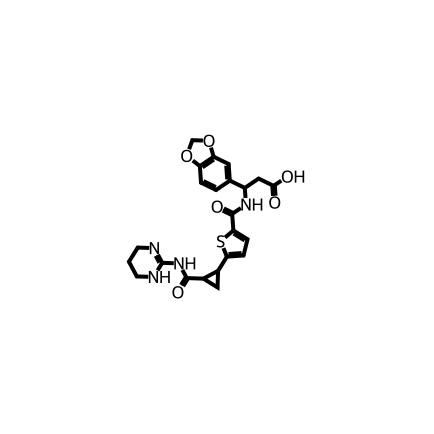 O=C(O)CC(NC(=O)c1ccc(C2CC2C(=O)NC2=NCCCN2)s1)c1ccc2c(c1)OCO2